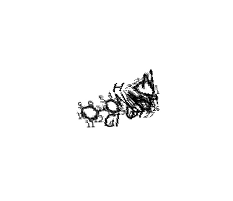 O=C(Nc1ccc(-c2ccccc2)c(Cl)c1)[C@]12C[C@@]1(c1ccncc1)[C@@H]1CC[C@H]2O1